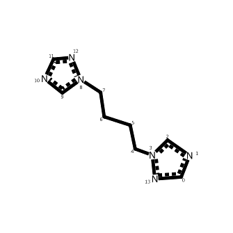 c1ncn(CCCCn2cncn2)n1